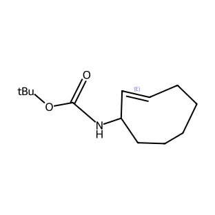 CC(C)(C)OC(=O)NC1/C=C/CCCCC1